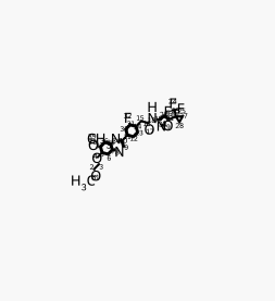 COCCOc1cc2ncc(-c3ccc(CC(=O)Nc4cc(C5(C(F)(F)F)CC5)on4)c(F)c3)nc2cc1OC